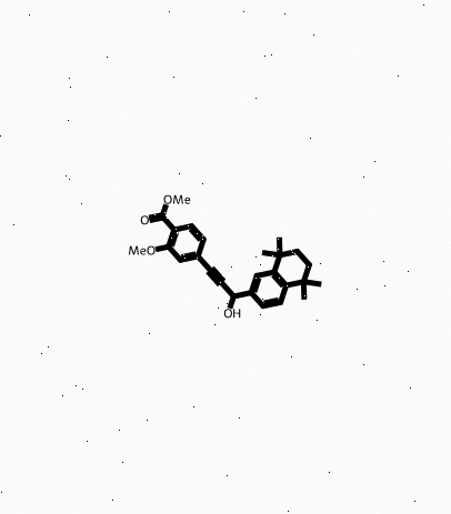 COC(=O)c1ccc(C#CC(O)c2ccc3c(c2)C(C)(C)CCC3(C)C)cc1OC